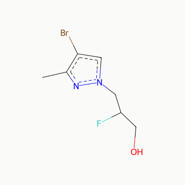 Cc1nn(CC(F)CO)cc1Br